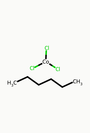 CCCCCC.[Cl][Co]([Cl])[Cl]